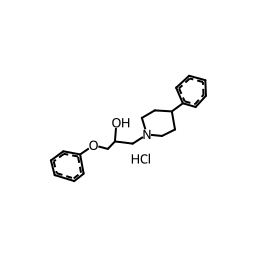 Cl.OC(COc1ccccc1)CN1CCC(c2ccccc2)CC1